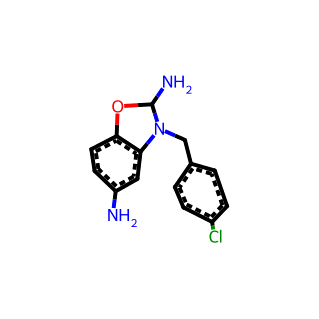 Nc1ccc2c(c1)N(Cc1ccc(Cl)cc1)C(N)O2